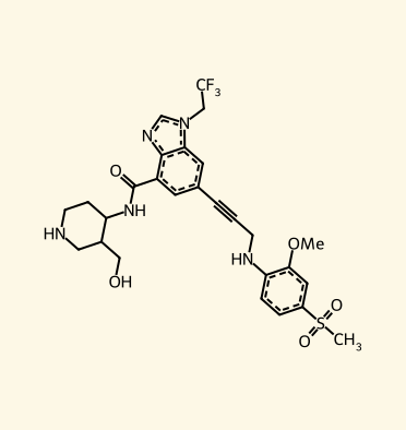 COc1cc(S(C)(=O)=O)ccc1NCC#Cc1cc(C(=O)NC2CCNCC2CO)c2ncn(CC(F)(F)F)c2c1